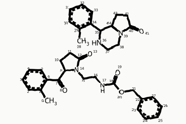 Cc1ccccc1C(=O)C1CCC(=O)N1CCNC(=O)OCc1ccccc1.Cc1ccccc1C1NCCN2C(=O)CCC12